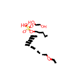 C=C.C=C.C=C.C=C.C=C.C=C.C=C.CCCCCOS(=O)(=O)O.CCOCC.OCCO